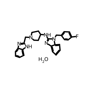 Fc1ccc(Cn2c(NC3CCN(Cc4nc5ccccc5[nH]4)CC3)nc3ccccc32)cc1.O